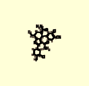 N#Cc1ccc(C2c3c(C(N)=O)c(-c4ccc(F)c(Cl)c4)nn3C(CF)CN2C(N)=O)cc1Cl